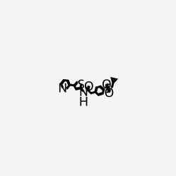 O=C(Cc1ccc(S(=O)(=O)CC2CC2)cc1)Nc1cc(-c2cccnc2)cs1